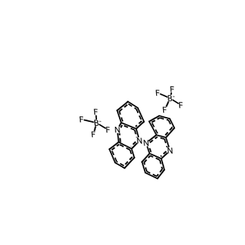 F[B-](F)(F)F.F[B-](F)(F)F.c1ccc2nc3ccccc3nc2c1.c1ccc2nc3ccccc3nc2c1